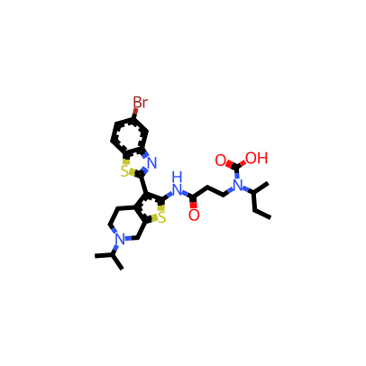 CCC(C)N(CCC(=O)Nc1sc2c(c1-c1nc3cc(Br)ccc3s1)CCN(C(C)C)C2)C(=O)O